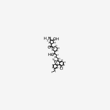 CCc1cccc(-c2c(Cl)cccc2C(CCCC(O)C2CCCN(C(=O)C3CC(N)C(O)C3)C2)OC)c1